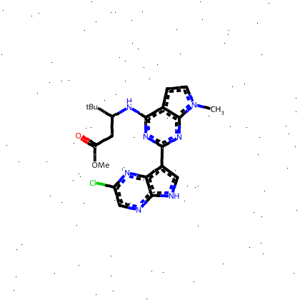 COC(=O)CC(Nc1nc(-c2c[nH]c3ncc(Cl)nc23)nc2c1ccn2C)C(C)(C)C